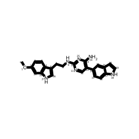 COc1ccc2c(CCNc3ncc(-c4ccc5[nH]ccc5c4)c(N)n3)c[nH]c2c1